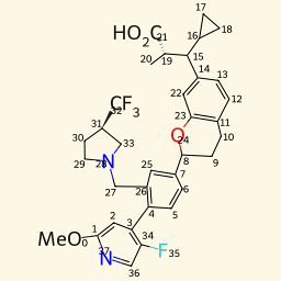 COc1cc(-c2ccc(C3CCc4ccc(C(C5CC5)[C@H](C)C(=O)O)cc4O3)cc2CN2CC[C@@H](C(F)(F)F)C2)c(F)cn1